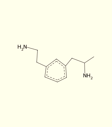 CC(N)Cc1cccc(CCN)c1